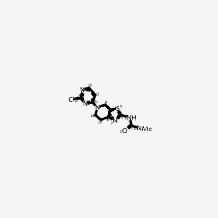 CNC(=O)Nc1nc2c(s1)CN(c1ccnc(Cl)n1)CC2